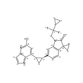 O=C1N(CC(F)(F)C2CC2)c2cc([C@H]3CC3c3cc(Cl)nn4ccnc34)ccc2C12CC2